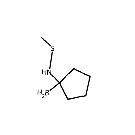 BC1(NSC)CCCC1